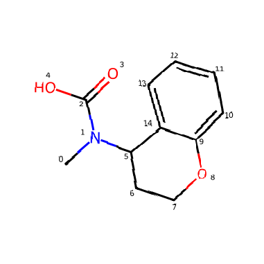 CN(C(=O)O)C1CCOc2ccccc21